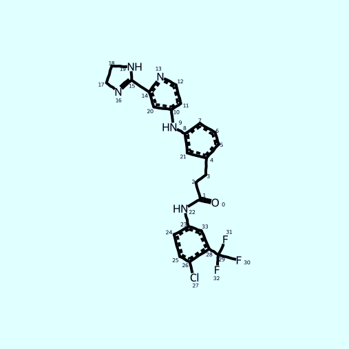 O=C(CCc1cccc(Nc2ccnc(C3=NCCN3)c2)c1)Nc1ccc(Cl)c(C(F)(F)F)c1